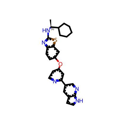 C[C@H](Nc1nc2ccc(Oc3ccnc(-c4cnc5[nH]ccc5c4)c3)cc2s1)C1CCCCC1